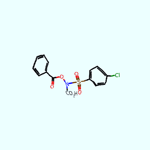 O=C(ON(C(=O)O)S(=O)(=O)c1ccc(Cl)cc1)c1ccccc1